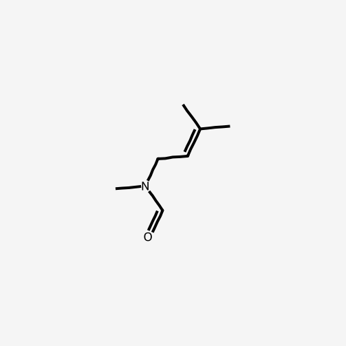 CC(C)=CCN(C)C=O